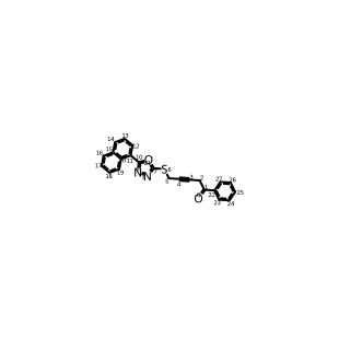 O=C(CC#CCSc1nnc(-c2cccc3ccccc23)o1)c1ccccc1